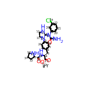 CC(C)OC(=O)[C@H](Cc1ccc(N2CCNC2N(C(N)=O)c2cccc(Cl)c2)cc1)NC(=O)[C@@H]1CCCN1